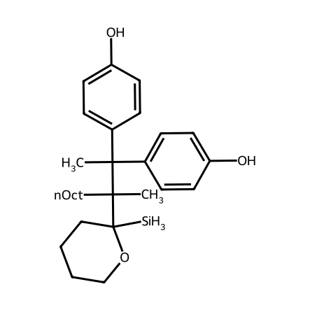 CCCCCCCCC(C)(C1([SiH3])CCCCO1)C(C)(c1ccc(O)cc1)c1ccc(O)cc1